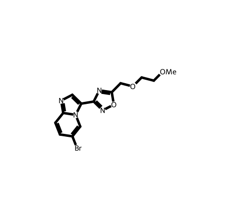 COCCOCc1nc(-c2cnc3ccc(Br)cn23)no1